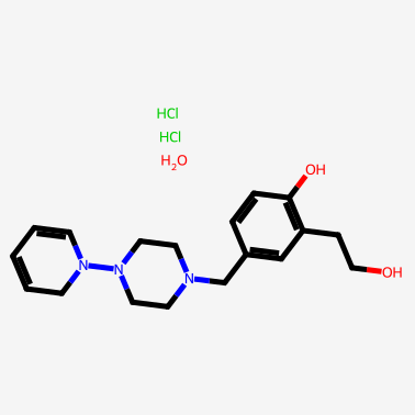 Cl.Cl.O.OCCc1cc(CN2CCN(N3C=CC=CC3)CC2)ccc1O